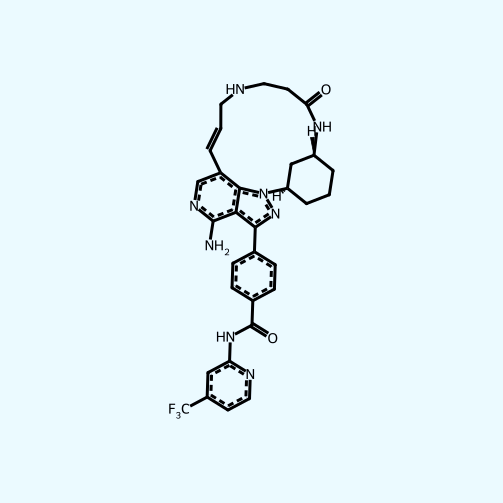 Nc1ncc2c3c1c(-c1ccc(C(=O)Nc4cc(C(F)(F)F)ccn4)cc1)nn3[C@@H]1CCC[C@H](C1)NC(=O)CCNC/C=C/2